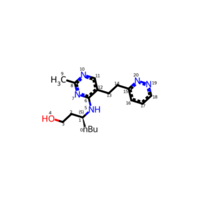 CCCC[C@@H](CCO)Nc1nc(C)ncc1CCc1cccnn1